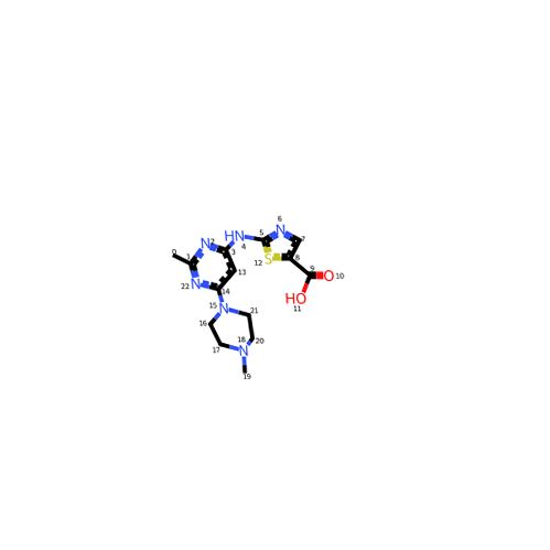 Cc1nc(Nc2ncc(C(=O)O)s2)cc(N2CCN(C)CC2)n1